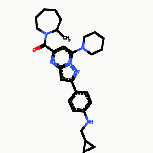 CC1CCCCCN1C(=O)c1cc(N2CCCCC2)n2nc(-c3ccc(NCC4CC4)cc3)cc2n1